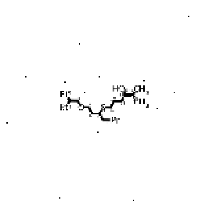 CCC(CC)COCC[C@H](CC(C)C)SCCCC(O)=C(C)C